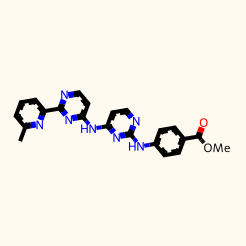 COC(=O)c1ccc(Nc2nccc(Nc3ccnc(-c4cccc(C)n4)n3)n2)cc1